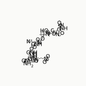 Cc1c(-c2ccc(N3CCc4cccc(C(=O)Nc5nc6ccccc6s5)c4C3)nc2C(=O)O)cnn1CC12CC3(C)CC(C)(C1)CC(OCCN(C)C(=O)C(CCCC[N+](C)(C)C)NC(=O)OCc1ccc(NC(=O)C(CCCNC(N)=O)NC(=O)C(NC(=O)CCCCCN4C(=O)C=CC4=O)C(C)C)cc1)(C3)C2